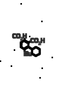 CCC(C)c1ccc(C(=O)O)c(C(=O)O)c1C1CCCCC1